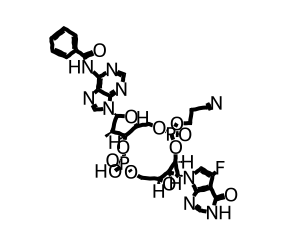 C[C@@H]1[C@@H]2OP(=O)(O)OC[C@H]3O[C@@H](n4cc(F)c5c(=O)[nH]cnc54)[C@H](OP(=O)(OCCC#N)OC[C@H]2O[C@H]1n1cnc2c(NC(=O)c4ccccc4)ncnc21)[C@@H]3C